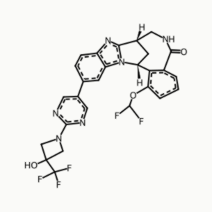 O=C1NC[C@@H]2C[C@H](c3c(OC(F)F)cccc31)n1c2nc2ccc(-c3cnc(N4CC(O)(C(F)(F)F)C4)nc3)cc21